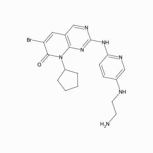 NCCNc1ccc(Nc2ncc3cc(Br)c(=O)n(C4CCCC4)c3n2)nc1